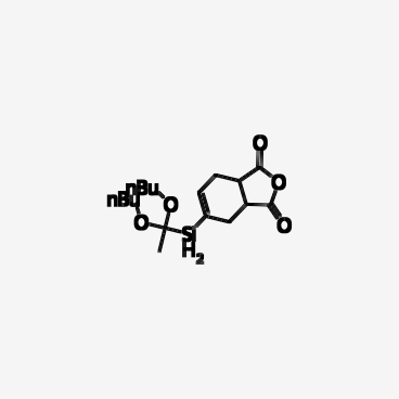 CCCCOC(C)(OCCCC)[SiH2]C1=CCC2C(=O)OC(=O)C2C1